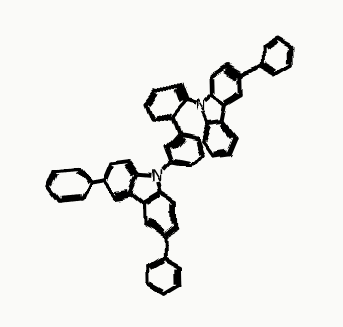 c1ccc(-c2ccc3c(c2)c2cc(-c4ccccc4)ccc2n3-c2cccc(-c3ccccc3-n3c4ccccc4c4cc(-c5ccccc5)ccc43)c2)cc1